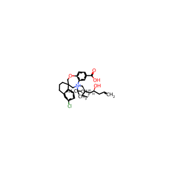 C=CC[C@H](O)[C@@H]1CC[C@H]1C[N+]1(C(C)(C)C)CC2(CCCc3cc(Cl)ccc32)COc2ccc(C(=O)O)cc21